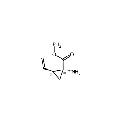 C=C[C@@H]1C[C@]1(N)C(=O)OP